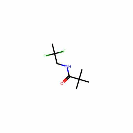 CC(F)(F)CNC(=O)C(C)(C)C